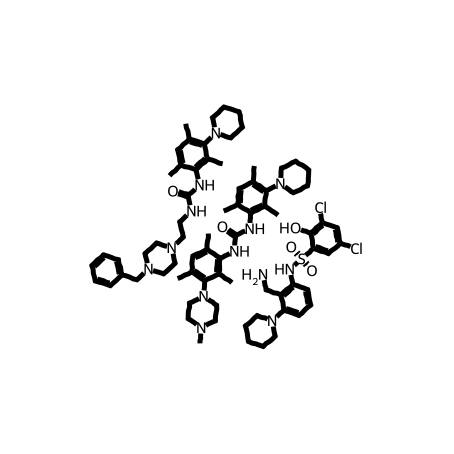 Cc1cc(C)c(N2CCCCC2)c(C)c1NC(=O)NCCN1CCN(Cc2ccccc2)CC1.Cc1cc(C)c(N2CCCCC2)c(C)c1NC(=O)Nc1c(C)cc(C)c(N2CCN(C)CC2)c1C.NCc1c(NS(=O)(=O)c2cc(Cl)cc(Cl)c2O)cccc1N1CCCCC1